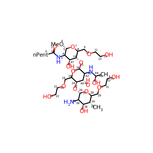 CCCCCC(=O)NC1[C@H](OC)OC(COCCO)[C@H](O[C@@H]2OC(COCCO)[C@H](O[C@@H]3OC(COCCO)[C@H](C)[C@@H](O)C3N)[C@@H](O)C2NC(C)O)[C@H]1O